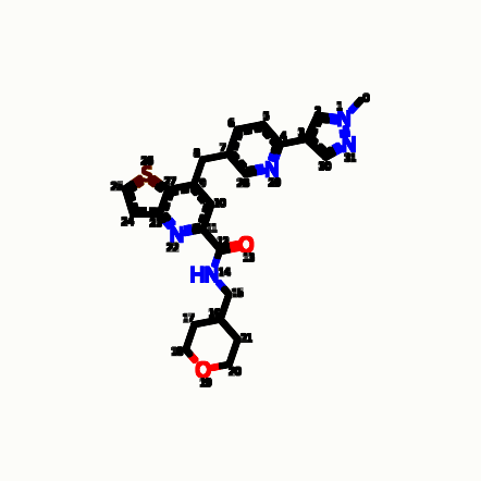 Cn1cc(-c2ccc(Cc3cc(C(=O)NCC4CCOCC4)nc4ccsc34)cn2)cn1